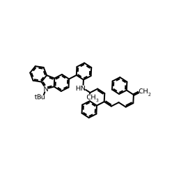 C=C(/C=C\C/C=C(\C=C/C(C)Nc1ccccc1-c1ccc2c(c1)c1ccccc1n2C(C)(C)C)c1ccccc1)c1ccccc1